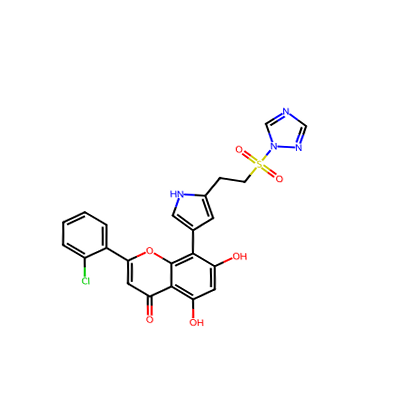 O=c1cc(-c2ccccc2Cl)oc2c(-c3c[nH]c(CCS(=O)(=O)n4cncn4)c3)c(O)cc(O)c12